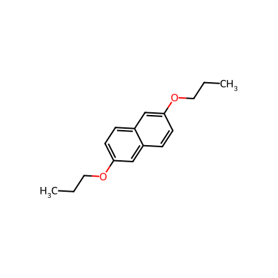 CCCOc1ccc2cc(OCCC)ccc2c1